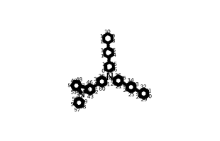 C1=CC(C2=CC=C(C3CCCCC3)CC2)CC=C1N(c1ccc(-c2ccc(-c3ccccc3)cc2)cc1)c1ccc(-c2ccc3c(c2)c2ccccc2n3-c2ccccc2)cc1